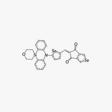 O=C1C(=Cc2ccc(N3c4ccccc4[Si]4(CCOCC4)c4ccccc43)[se]2)C(=O)c2c[se]cc21